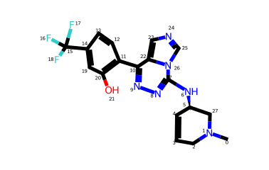 CN1CC=C[C@@H](Nc2nnc(-c3ccc(C(F)(F)F)cc3O)c3cncn23)C1